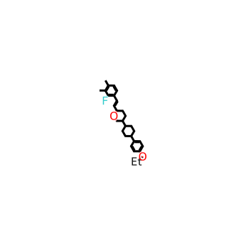 CCOc1ccc(C2CCC(C3CCC(/C=C/c4ccc(C)c(C)c4F)OC3)CC2)cc1